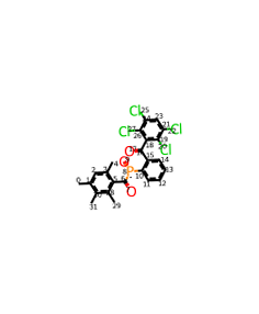 Cc1cc(C)c(C(=O)[P](=O)c2ccccc2C(=O)c2c(Cl)c(Cl)cc(Cl)c2Cl)c(C)c1C